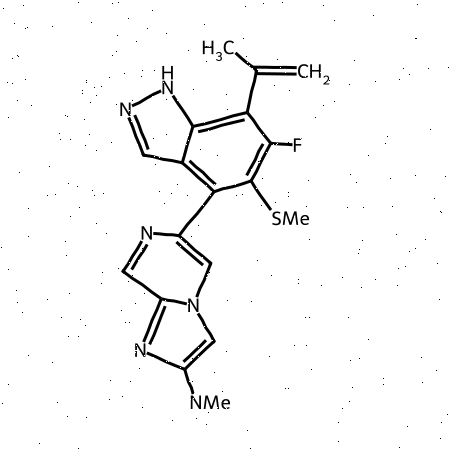 C=C(C)c1c(F)c(SC)c(-c2cn3cc(NC)nc3cn2)c2cn[nH]c12